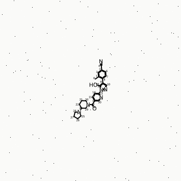 Cc1cc(C#N)ccc1-c1cnn(-c2ccc(C(=O)N3CCCC(N4CCCC4)C3)cn2)c1O